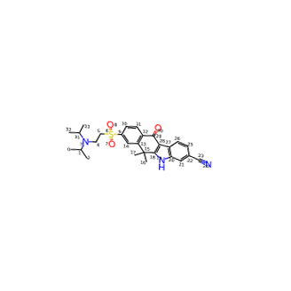 CC(C)N(CCS(=O)(=O)c1ccc2c(c1)C(C)(C)c1[nH]c3cc(C#N)ccc3c1C2=O)C(C)C